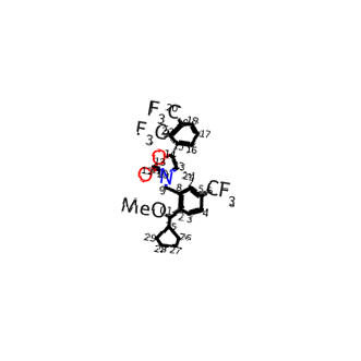 COC(c1ccc(C(F)(F)F)cc1CN1C(=O)O[C@H](c2cccc(C(F)(F)F)c2C(F)(F)F)[C@@H]1C)C1CCCC1